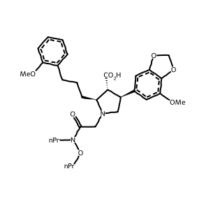 CCCON(CCC)C(=O)CN1C[C@H](c2cc(OC)c3c(c2)OCO3)[C@@H](C(=O)O)[C@@H]1CCCc1ccccc1OC